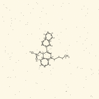 CCCCN1C=C(c2ccc3ccccc3n2)C(C[N+](=O)[O-])c2ccccc21